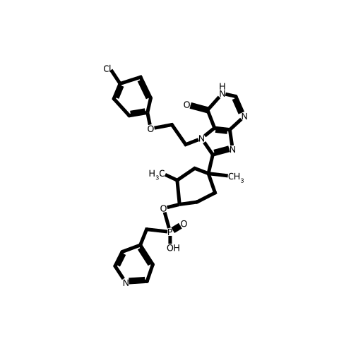 CC1CC(C)(c2nc3nc[nH]c(=O)c3n2CCOc2ccc(Cl)cc2)CCC1OP(=O)(O)Cc1ccncc1